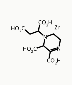 O=C(O)CC(C(=O)O)N1CCN=C(C(=O)O)C1C(=O)O.[Zn]